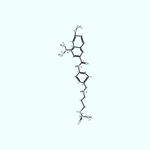 COc1ccc2cc(C(=O)Nc3ccc(CNCCCO[PH](=O)O)cc3)cc(N(C)C)c2c1